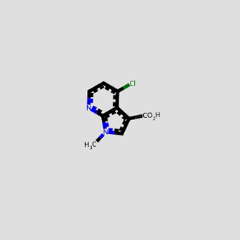 Cn1cc(C(=O)O)c2c(Cl)ccnc21